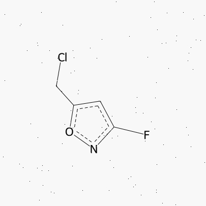 Fc1cc(CCl)on1